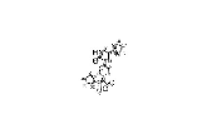 CC1(C)OC(=O)N([C@H]2CC=C(c3cc(-c4ncccn4)c[nH]c3=O)CC2)C1c1ccccc1